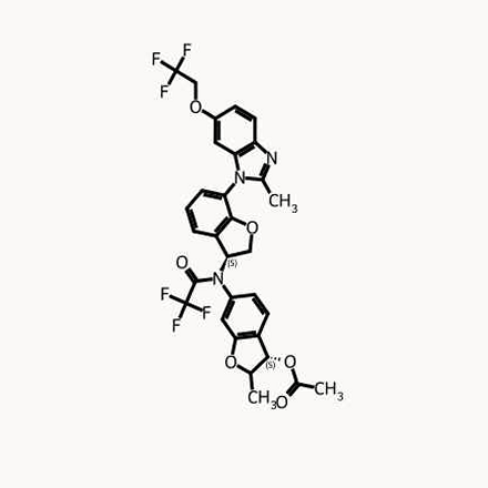 CC(=O)O[C@H]1c2ccc(N(C(=O)C(F)(F)F)[C@@H]3COc4c3cccc4-n3c(C)nc4ccc(OCC(F)(F)F)cc43)cc2OC1C